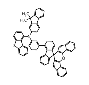 CC1(C)c2ccccc2-c2ccc(N(c3cccc(-c4cccc5c4-c4ccccc4C54c5ccc6ccccc6c5Oc5c4ccc4ccccc54)c3)c3cccc4sc5ccccc5c34)cc21